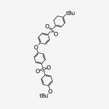 CC(C)(C)Oc1ccc(S(=O)(=O)c2ccc(Oc3ccc(S(=O)(=O)C4=CC=C(C(C)(C)C)CC4)cc3)cc2)cc1